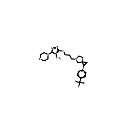 Cn1c(SCCCN2CC[C@]3(C[C@H]3c3ccc(C(F)(F)F)cc3)C2)nnc1N1CCOCC1